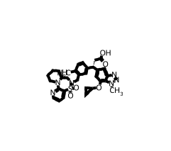 Cc1ccc([C@H](CC(=O)O)c2cc(OC3CC3)c3c(c2)nnn3C)cc1CN1C[C@H]2CCCCN2c2ncccc2S1(=O)=O